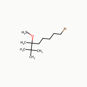 CC(C)(C)C(C)(CCCCCBr)O[SiH3]